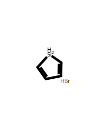 Br.C1=C[SiH2]C=C1